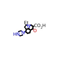 CCC1Cc2c(N3CCNCC3)ccc3c(=O)c(C(=O)O)cn1c23